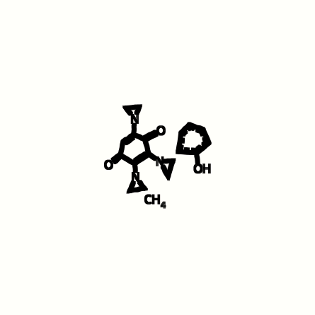 C.O=C1C=C(N2CC2)C(=O)C(N2CC2)=C1N1CC1.Oc1ccccc1